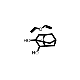 C=COC=C.OC1C2CC3CC(CC1(O)C3)O2